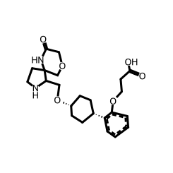 O=C(O)CCOc1ccccc1[C@H]1CC[C@@H](OCC2NCCC23COCC(=O)N3)CC1